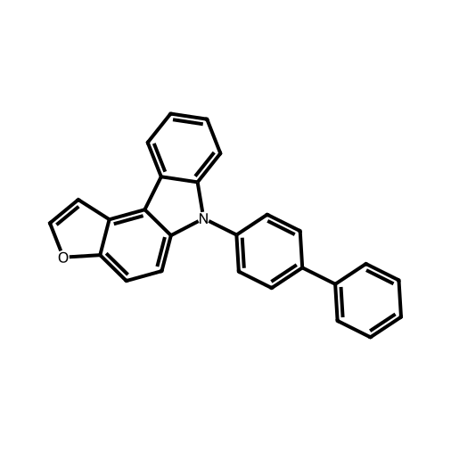 c1ccc(-c2ccc(-n3c4ccccc4c4c5ccoc5ccc43)cc2)cc1